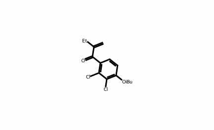 C=C(CC)C(=O)c1ccc(OCC(C)C)c(Cl)c1Cl